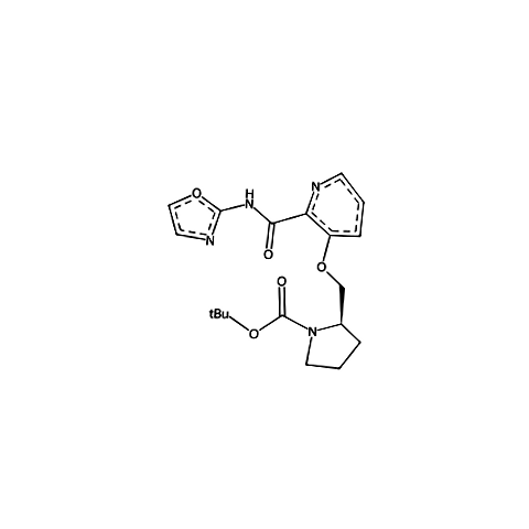 CC(C)(C)OC(=O)N1CCC[C@@H]1COc1cccnc1C(=O)Nc1ncco1